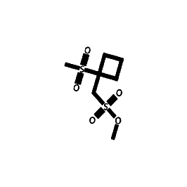 COS(=O)(=O)CC1(S(C)(=O)=O)CCC1